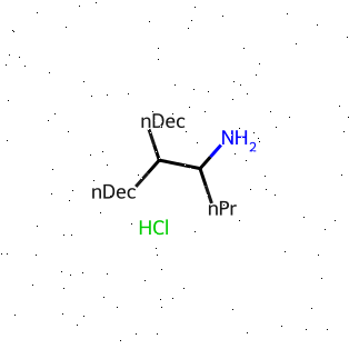 CCCCCCCCCCC(CCCCCCCCCC)C(N)CCC.Cl